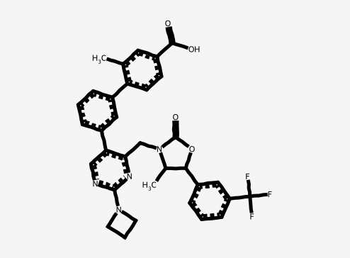 Cc1cc(C(=O)O)ccc1-c1cccc(-c2cnc(N3CCC3)nc2CN2C(=O)OC(c3cccc(C(F)(F)F)c3)C2C)c1